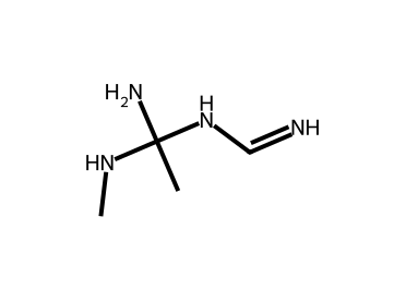 CNC(C)(N)NC=N